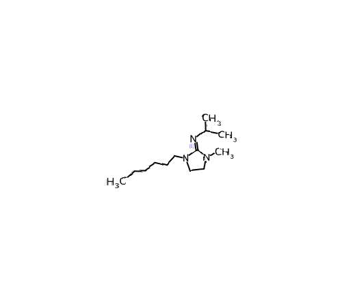 CCCCCCN1CCN(C)/C1=N\C(C)C